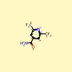 NC(=O)c1cc(C(F)(F)F)nc(C(F)(F)F)c1